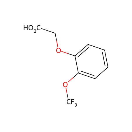 O=C(O)COc1ccccc1OC(F)(F)F